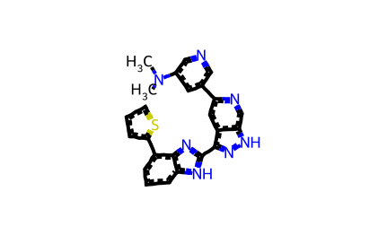 CN(C)c1cncc(-c2cc3c(-c4nc5c(-c6cccs6)cccc5[nH]4)n[nH]c3cn2)c1